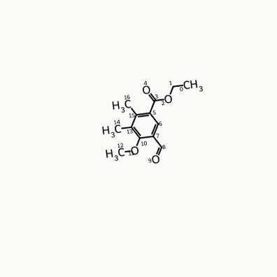 CCOC(=O)c1cc(C=O)c(OC)c(C)c1C